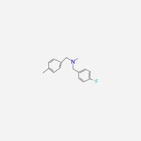 Cc1ccc(CN(C)Cc2ccc(F)cc2)cc1